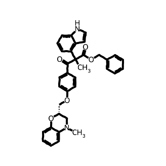 CN1C[C@@H](COc2ccc(C(=O)C(C)(C(=O)OCc3ccccc3)c3cccc4[nH]ccc34)cc2)Oc2ccccc21